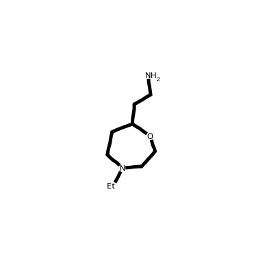 CCN1CCOC(CCN)CC1